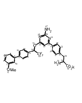 COc1cncc(-c2ccc(C(Oc3cc(-c4ccc(CC(N)C(=O)O)cc4)nc(N)n3)C(F)(F)F)cc2)c1